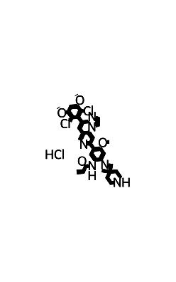 C=CC(=O)Nc1cc(-c2cc3c(cn2)cc(-c2c(Cl)c(OC)cc(OC)c2Cl)c2nccn23)c(OC)cc1N1CC2(CCNCC2)C1.Cl